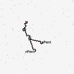 CCCCC/C=C\C/C=C\CCCCCCCCC(CCCCCCCC/C=C\C/C=C\CCCCC)=NOCC(C)CC(C)CCCCC1CCCC(CCC(C)CC(C)CN(C)C)O1